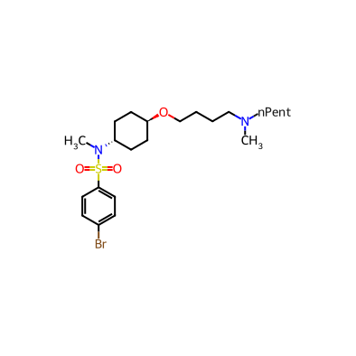 CCCCCN(C)CCCCO[C@H]1CC[C@H](N(C)S(=O)(=O)c2ccc(Br)cc2)CC1